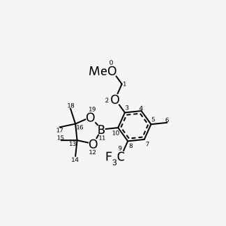 COCOc1cc(C)cc(C(F)(F)F)c1B1OC(C)(C)C(C)(C)O1